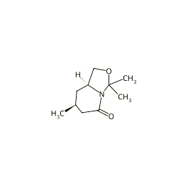 C[C@@H]1CC(=O)N2[C@H](COC2(C)C)C1